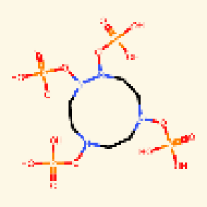 O=P(O)(O)ON1CCN(OP(=O)(O)O)CCN(OP(=O)(O)O)N(OP(=O)(O)O)CC1